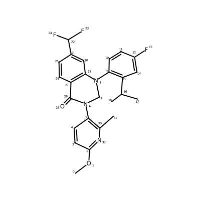 COc1ccc(N2CN(c3ccc(F)cc3C(C)C)c3cc(C(F)F)ccc3C2=O)c(C)n1